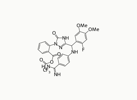 COc1cc(F)c(C(Nc2ccc(C(=N)N)cc2)c2nn(-c3ccccc3C(=O)OC(=O)C(F)(F)F)c(=O)[nH]2)cc1OC